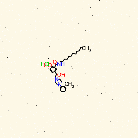 CCCCCCCCCCCCNC(=O)c1cc(C(O)CN2CCN(c3ccccc3C)CC2)ccc1O.Cl